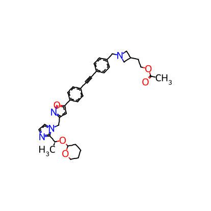 CC(=O)OCCC1CN(Cc2ccc(C#Cc3ccc(-c4cc(Cn5ccnc5[C@H](C)OC5CCCCO5)no4)cc3)cc2)C1